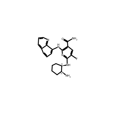 NC(=O)c1cc(F)c(N[C@@H]2CCCC[C@@H]2N)nc1Nc1cccc2cccnc12